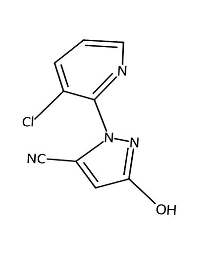 N#Cc1cc(O)nn1-c1ncccc1Cl